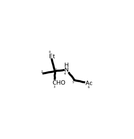 CCC(C)(C=O)NCC(C)=O